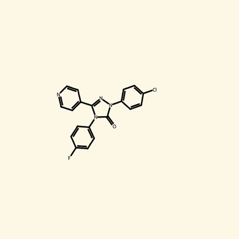 O=c1n(-c2ccc(Cl)cc2)nc(-c2ccncc2)n1-c1ccc(F)cc1